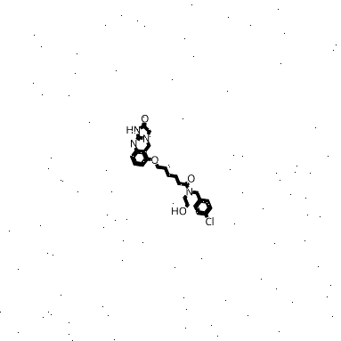 O=C1CN2Cc3c(cccc3OCCCCCC(=O)N(CCO)Cc3ccc(Cl)cc3)N=C2N1